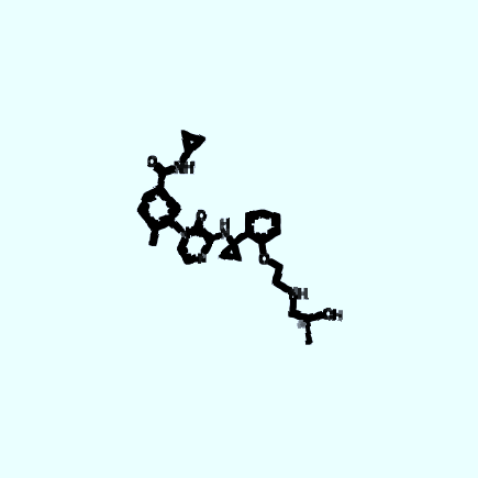 Cc1ccc(C(=O)NC2CC2)cc1-n1ccnc(NC2(c3ccccc3OCCNC[C@H](C)O)CC2)c1=O